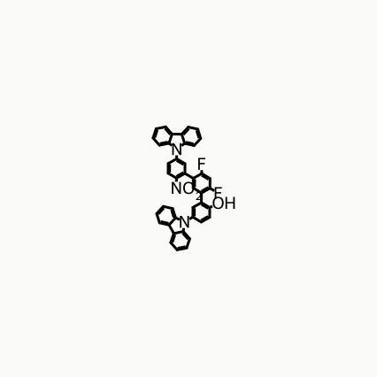 O=[N+]([O-])c1ccc(-n2c3ccccc3c3ccccc32)cc1-c1cc(-c2cc(-n3c4ccccc4c4ccccc43)ccc2O)c(F)cc1F